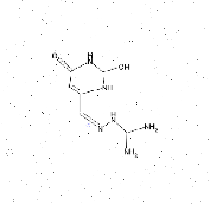 NC(N)N/N=C\C1=CC(=O)NC(O)N1